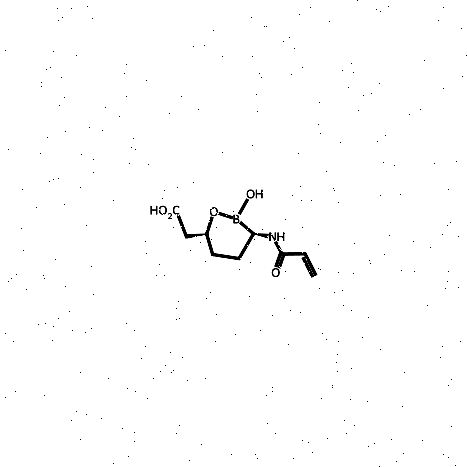 C=CC(=O)N[C@H]1CC[C@@H](CC(=O)O)OB1O